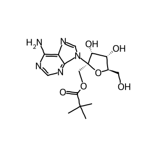 CC(C)(C)C(=O)OC[C@@]1(n2cnc3c(N)ncnc32)O[C@H](CO)[C@@H](O)[C@H]1O